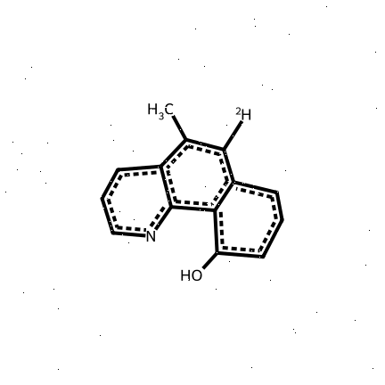 [2H]c1c(C)c2cccnc2c2c(O)cccc12